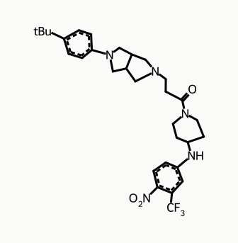 CC(C)(C)c1ccc(N2CC3CN(CCC(=O)N4CCC(Nc5ccc([N+](=O)[O-])c(C(F)(F)F)c5)CC4)CC3C2)cc1